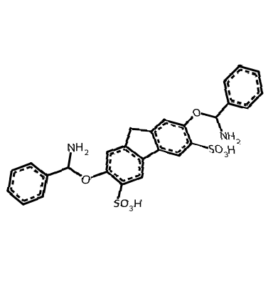 NC(Oc1cc2c(cc1S(=O)(=O)O)-c1cc(S(=O)(=O)O)c(OC(N)c3ccccc3)cc1C2)c1ccccc1